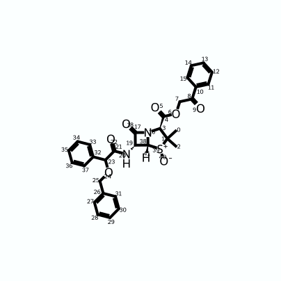 CC1(C)[C@H](C(=O)OCC(=O)c2ccccc2)N2C(=O)[C@@H](NC(=O)C(OCc3ccccc3)c3ccccc3)[C@H]2[S+]1[O-]